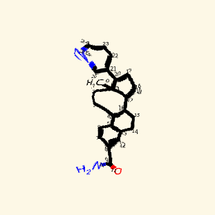 CC12CCC3c4ccc(C(N)=O)cc4CCC3C1CC=C2c1cccnc1